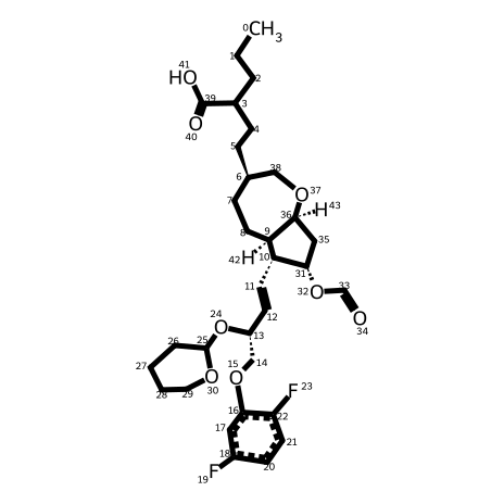 CCCC(CC[C@@H]1CC[C@@H]2[C@@H](/C=C/[C@H](COc3cc(F)ccc3F)OC3CCCCO3)[C@@H](OC=O)C[C@@H]2OC1)C(=O)O